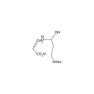 C=CC(=O)O.CCCCCCCCC(O)O